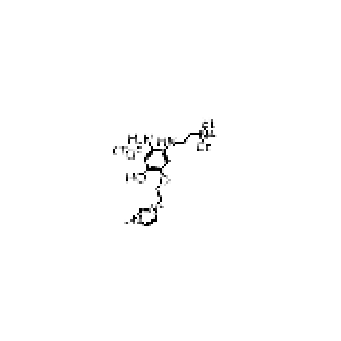 CC[N+](C)(CC)CCNc1cc(OCC[n+]2ccn(C)c2)c(O)cc1N.[Cl-].[Cl-]